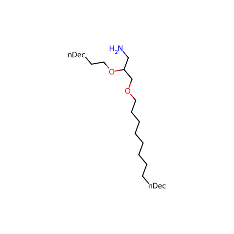 CCCCCCCCCCCCCCCCCCOCC(CN)OCCCCCCCCCCCC